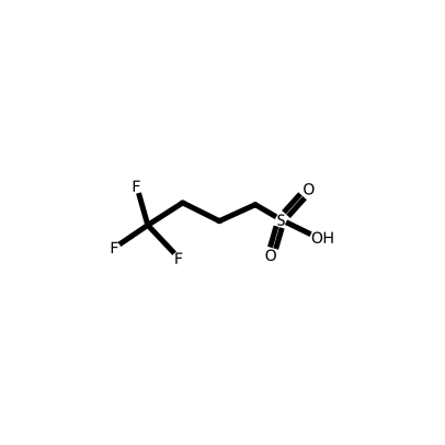 O=S(=O)(O)CCCC(F)(F)F